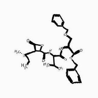 CC[C@H](C)C1C(=O)OC1C(=O)NC(C(=O)NC(COCc1ccccc1)C(=O)OCc1ccccc1)C(C)C